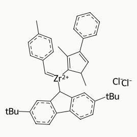 CC1=[C](/[Zr+2](=[CH]\c2ccc(C)cc2)[CH]2c3cc(C(C)(C)C)ccc3-c3ccc(C(C)(C)C)cc32)C(C)C=C1c1ccccc1.[Cl-].[Cl-]